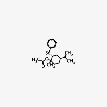 C=C(C)C1CC[C@](C)(OC(C)=O)[C@H]([Se]c2ccccc2)C1